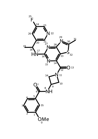 COc1cccc(C(=O)NC2CN(C(=O)c3nc(NC(C)c4cncc(F)c4)nc4nc(C)sc34)C2)c1